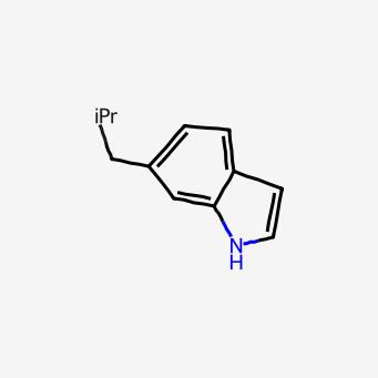 CC(C)Cc1ccc2cc[nH]c2c1